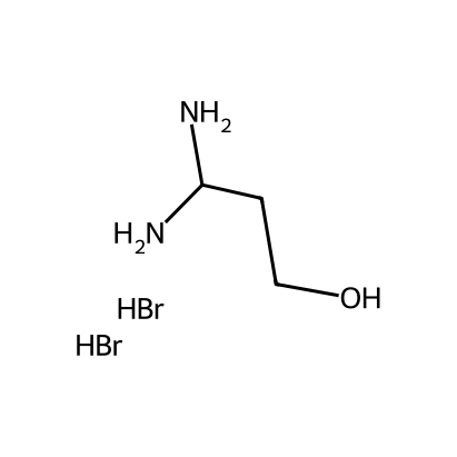 Br.Br.NC(N)CCO